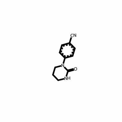 N#Cc1ccc(N2CCCNC2=O)cc1